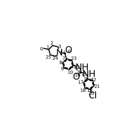 CC1CCN(C(=O)c2cccc(NC(=O)Nc3ccc(Cl)cc3)c2)CC1